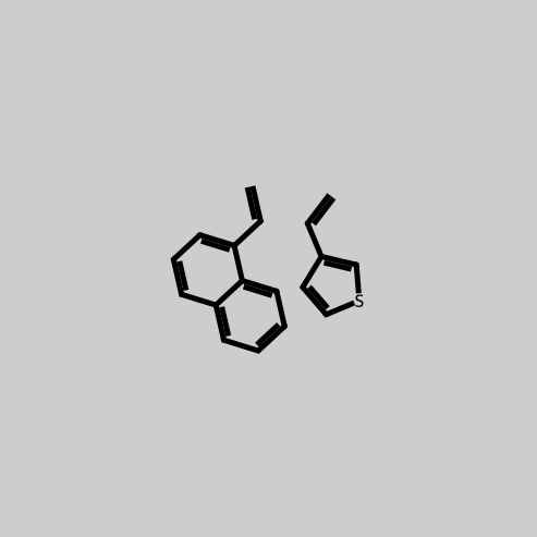 C=Cc1cccc2ccccc12.C=Cc1ccsc1